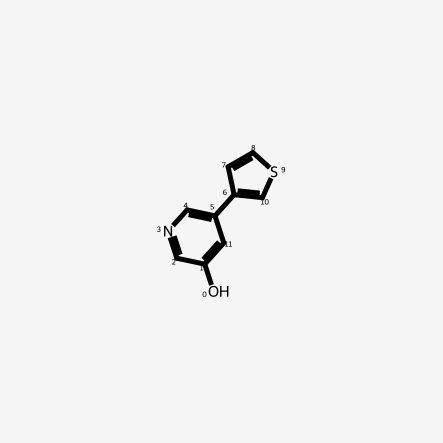 Oc1cncc(-c2ccsc2)c1